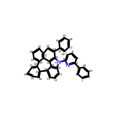 c1ccc(-c2cccc(-n3c4cccc5c4c4c6c(cccc6cc(-c6ccccc6)c43)-c3ccccc3-5)n2)cc1